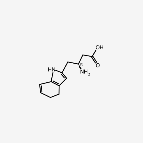 N[C@H](CC(=O)O)Cc1cc2c([nH]1)C=CCC2